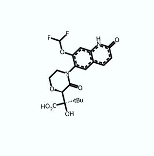 CC(C)(C)[C@](O)(C(=O)O)[C@H]1OCCN(c2cc3ccc(=O)[nH]c3cc2OC(F)F)C1=O